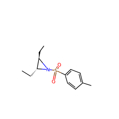 CC[C@@H]1[C@@H](CC)N1S(=O)(=O)c1ccc(C)cc1